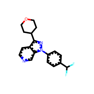 FC(F)c1ccc(-n2nc(C3CCOCC3)c3ccncc32)cc1